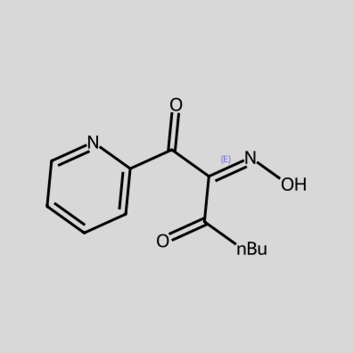 CCCCC(=O)/C(=N\O)C(=O)c1ccccn1